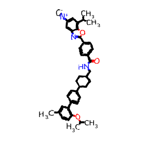 [C-]#[N+]c1cc(C(C)C)c2oc(-c3ccc(C(=O)NCC4CCC(c5ccc(-c6cc(C)ccc6OC(C)C)cc5)CC4)cc3)nc2c1